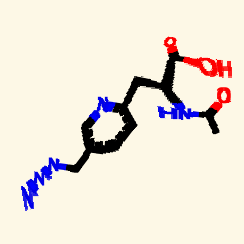 CC(=O)N[C@@H](Cc1ccc(CN=[N+]=[N-])cn1)C(=O)O